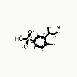 Cc1ccc(S(=O)(=O)O)cc1C(C)CCl